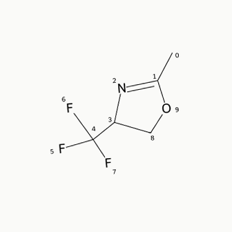 CC1=NC(C(F)(F)F)CO1